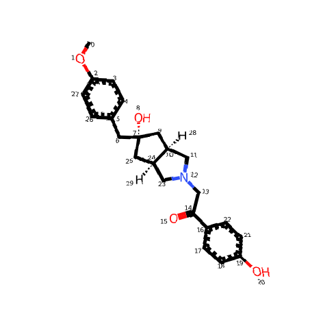 COc1ccc(C[C@@]2(O)C[C@H]3CN(CC(=O)c4ccc(O)cc4)C[C@H]3C2)cc1